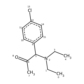 CCN(CC)C(C(C)=O)c1ccc(Cl)cc1